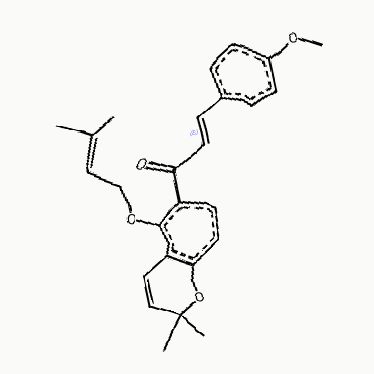 COc1ccc(/C=C/C(=O)c2ccc3c(c2OCC=C(C)C)C=CC(C)(C)O3)cc1